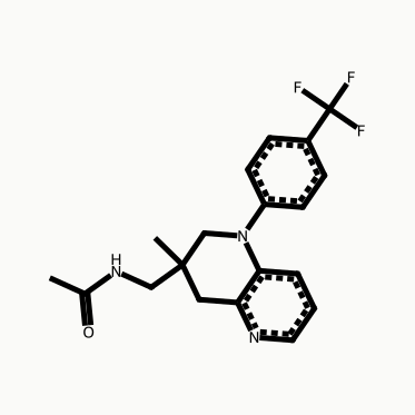 CC(=O)NCC1(C)Cc2ncccc2N(c2ccc(C(F)(F)F)cc2)C1